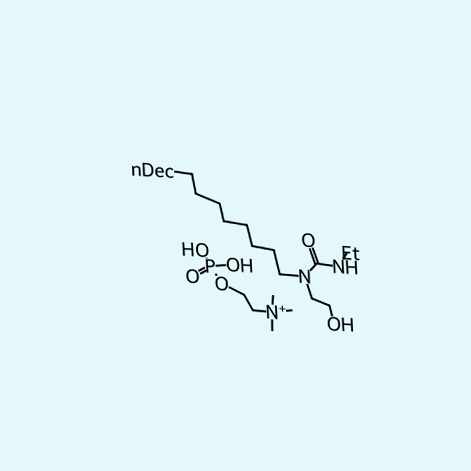 CCCCCCCCCCCCCCCCCCN(CCO)C(=O)NCC.C[N+](C)(C)CCOP(=O)(O)O